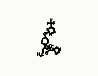 C=CC(N1CCC(Oc2nccc(C(F)(F)F)n2)CC1)S(=O)(=O)C[C@]1(C)C=NC=N1